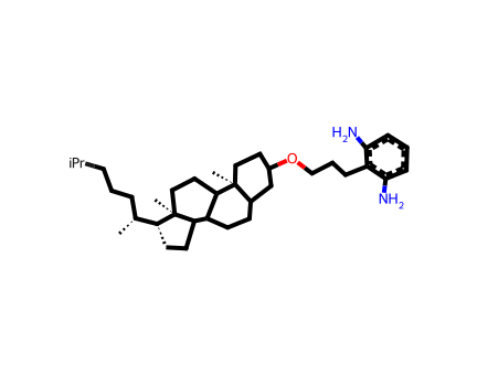 CC(C)CCC[C@@H](C)[C@H]1CCC2C3CCC4CC(OCCCc5c(N)cccc5N)CC[C@]4(C)C3CC[C@@]21C